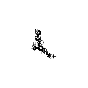 CC(C)(O)CCn1cc2cc(NC(=O)c3csc(-c4cccnc4)n3)c(-c3ccsc3)cc2n1